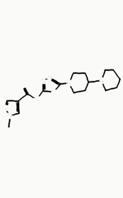 Cn1cc(C(=O)Nc2nnc(N3CCC(N4CCCCC4)CC3)s2)cn1